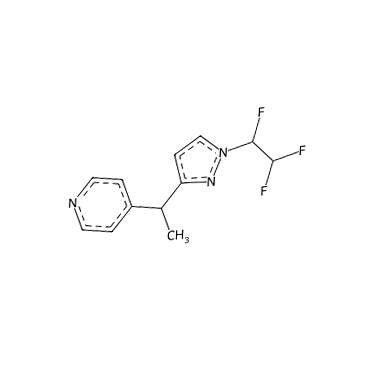 CC(c1ccncc1)c1ccn(C(F)C(F)F)n1